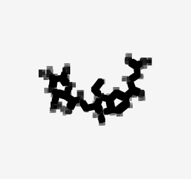 CCn1c(CNC(=O)c2nc(Cl)c(N)nc2N)[n+](C)c2ccc(C(=O)SCC(=O)O)cc21